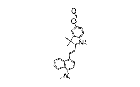 CN(C)c1ccc(/C=C/C2=[N+](C)c3ccc(OC=O)cc3C2(C)C)c2ccccc12